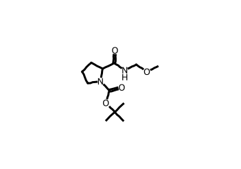 COCNC(=O)C1CCCN1C(=O)OC(C)(C)C